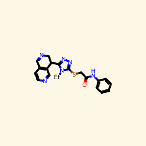 CCn1c(SCC(=O)Nc2ccccc2)nnc1C1CN=Cc2ccncc21